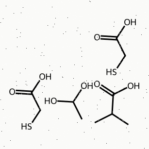 CC(C)C(=O)O.CC(O)O.O=C(O)CS.O=C(O)CS